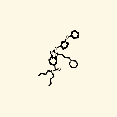 CCCCN(CCCC)C(=O)c1ccc2nc(Nc3cccc(Oc4ccccc4)c3)n(CCCN3CCCCC3)c2c1